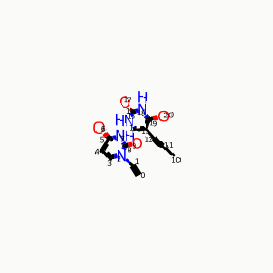 C#Cn1ccc(=O)[nH]c1=O.CC#Cc1c[nH]c(=O)[nH]c1=O